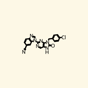 N#Cc1ccc2ncn(-c3ncc4[nH]c(=O)n(Cc5ccc(Cl)cc5)c4n3)c2c1